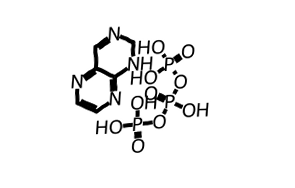 C1=NCNc2nccnc21.O=P(O)(O)OP(=O)(O)OP(=O)(O)O